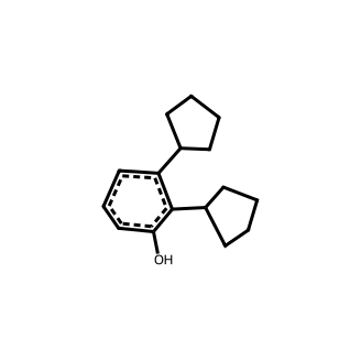 Oc1cccc(C2CCCC2)c1C1CCCC1